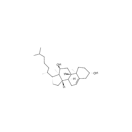 CC(C)CCC[C@@H](C)[C@H]1CC[C@H]2[C@@H]3CC=C4C[C@@H](O)CC[C@]4(C)[C@H]3C[C@H](O)[C@]12C